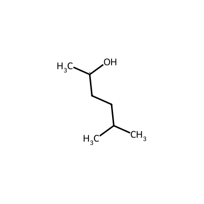 C[C](O)CCC(C)C